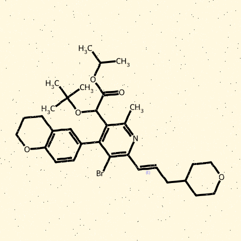 Cc1nc(/C=C/CC2CCOCC2)c(Br)c(-c2ccc3c(c2)CCCO3)c1C(OC(C)(C)C)C(=O)OC(C)C